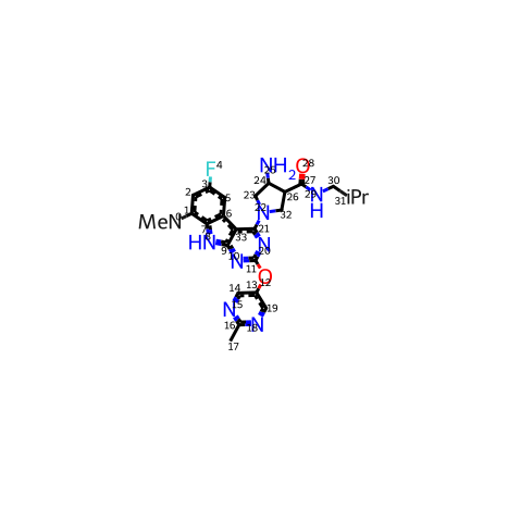 CNc1cc(F)cc2c1[nH]c1nc(Oc3cnc(C)nc3)nc(N3CC(N)C(C(=O)NCC(C)C)C3)c12